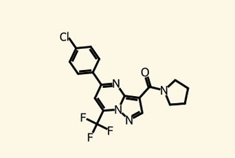 O=C(c1cnn2c(C(F)(F)F)cc(-c3ccc(Cl)cc3)nc12)N1CCCC1